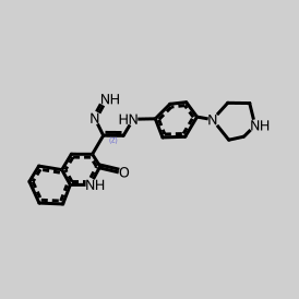 N=N/C(=C\Nc1ccc(N2CCNCC2)cc1)c1cc2ccccc2[nH]c1=O